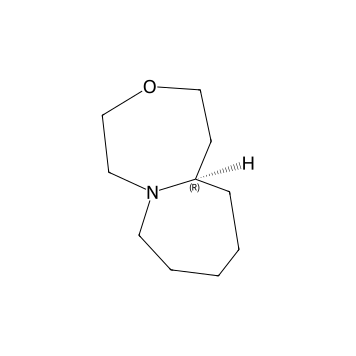 C1CC[C@@H]2CCOCCN2CC1